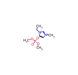 CCn1cc[n+](C)c1.COP(=O)([O-])OC